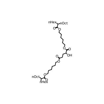 CCCCCCCCC(CCCCCC)C(=O)OCCCCCCOC(=O)CCC(O)C(=O)OCCCCCCOC(=O)C(CCCCCC)CCCCCCCC